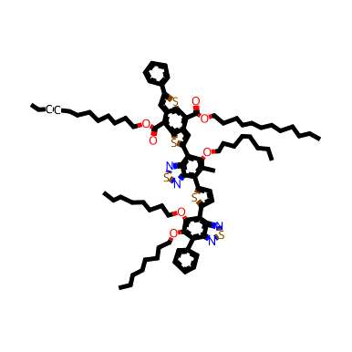 CCCCCCCCCCCCOC(=O)c1c2cc(-c3c(OCCCCCCCC)c(C)c(-c4ccc(-c5c(OCCCCCCCC)c(OCCCCCCCC)c(-c6ccccc6)c6nsnc56)s4)c4nsnc34)sc2c(C(=O)OCCCCCCCCCCCC)c2cc(-c3ccccc3)sc12